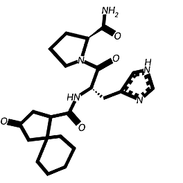 NC(=O)[C@@H]1CCCN1C(=O)[C@H](Cc1c[nH]cn1)NC(=O)C1CC(=O)CC12CCCCC2